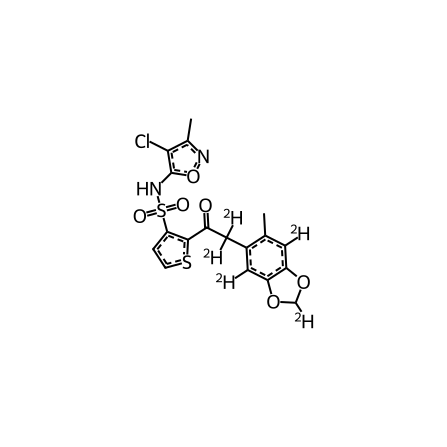 [2H]c1c(C)c(C([2H])([2H])C(=O)c2sccc2S(=O)(=O)Nc2onc(C)c2Cl)c([2H])c2c1OC([2H])O2